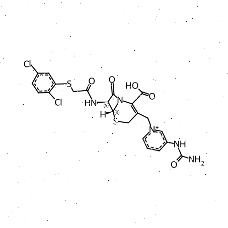 NC(=O)Nc1ccc[n+](CC2=C(C(=O)O)N3C(=O)[C@H](NC(=O)CSc4cc(Cl)ccc4Cl)[C@H]3SC2)c1